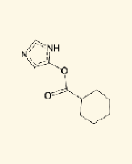 O=C(Oc1cnc[nH]1)C1CCCCC1